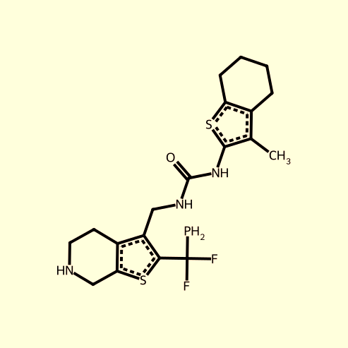 Cc1c(NC(=O)NCc2c(C(F)(F)P)sc3c2CCNC3)sc2c1CCCC2